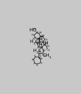 C[C@H](CC1=CCCCCC1)[C@H]1CC[C@H]2[C@@H]3CC=C4C[C@@H](O)CC[C@]4(C)[C@H]3CC[C@]12C